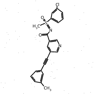 Cc1cccc(C#Cc2cncc(C(=O)N=S(C)(=O)c3cccc(Cl)c3)c2)c1